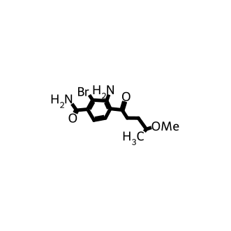 COC(C)CCC(=O)c1ccc(C(N)=O)c(Br)c1N